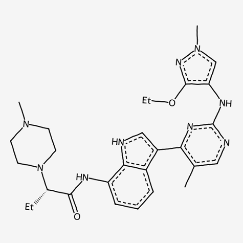 CCOc1nn(C)cc1Nc1ncc(C)c(-c2c[nH]c3c(NC(=O)[C@H](CC)N4CCN(C)CC4)cccc23)n1